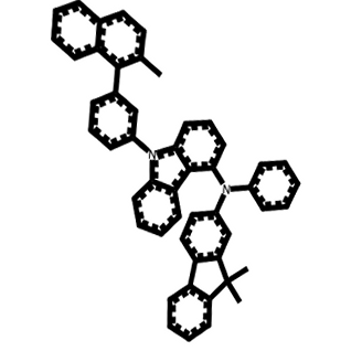 Cc1ccc2ccccc2c1-c1cccc(-n2c3ccccc3c3c(N(c4ccccc4)c4ccc5c(c4)C(C)(C)c4ccccc4-5)cccc32)c1